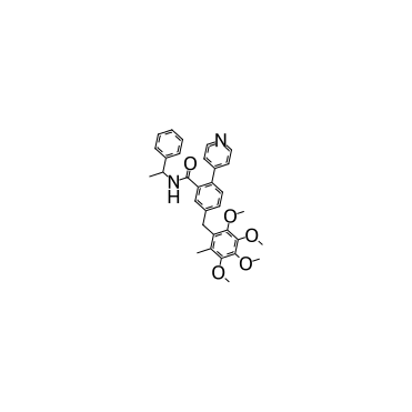 COc1c(C)c(Cc2ccc(-c3ccncc3)c(C(=O)NC(C)c3ccccc3)c2)c(OC)c(OC)c1OC